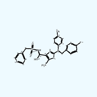 Cc1sc(N(Cc2ccc(F)cc2)c2ccc(C#N)cc2)nc1C(O)NS(=O)(=O)Cc1ccncc1